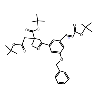 CC(C)(C)OC(=O)/C=C/c1cc(OCc2ccccc2)cc(C2=NOC(CC(=O)OC(C)(C)C)(C(=O)OC(C)(C)C)C2)c1